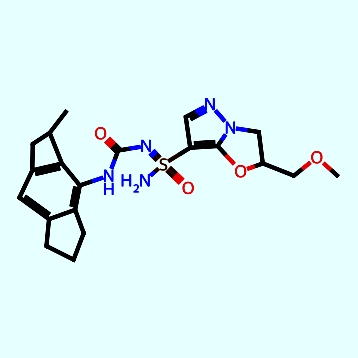 COCC1Cn2ncc(S(N)(=O)=NC(=O)Nc3c4c(cc5c3C(C)C5)CCC4)c2O1